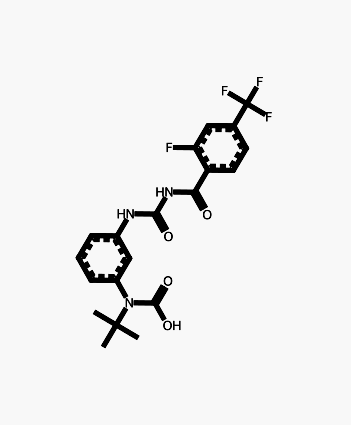 CC(C)(C)N(C(=O)O)c1cccc(NC(=O)NC(=O)c2ccc(C(F)(F)F)cc2F)c1